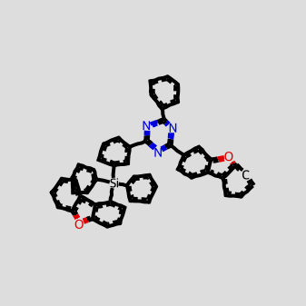 c1ccc(-c2nc(-c3cccc([Si](c4ccccc4)(c4ccccc4)c4cccc5oc6ccccc6c45)c3)nc(-c3ccc4c(c3)oc3ccccc34)n2)cc1